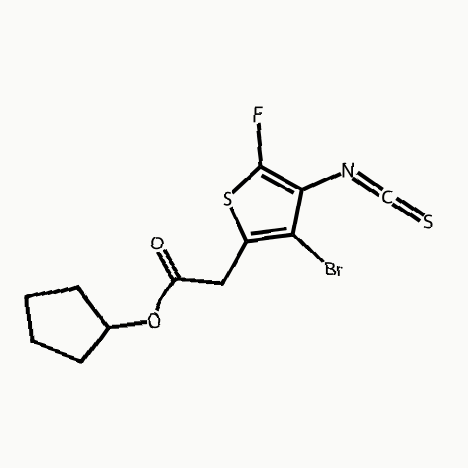 O=C(Cc1sc(F)c(N=C=S)c1Br)OC1CCCC1